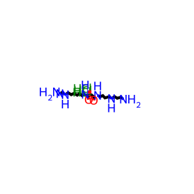 Cl.Cl.Cl.NCCCNCCCCNC(=O)CC(=O)NCCCCCCNC=NN